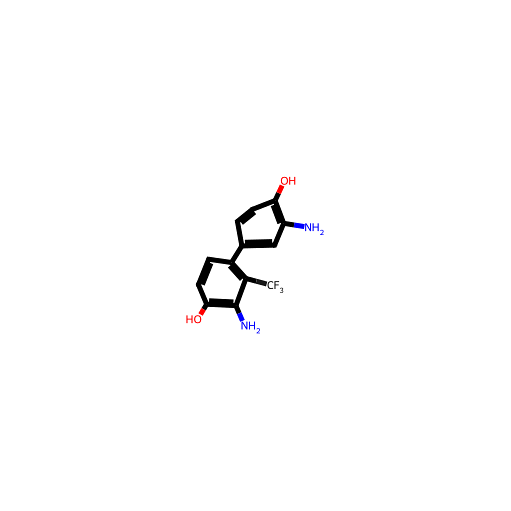 Nc1cc(-c2ccc(O)c(N)c2C(F)(F)F)ccc1O